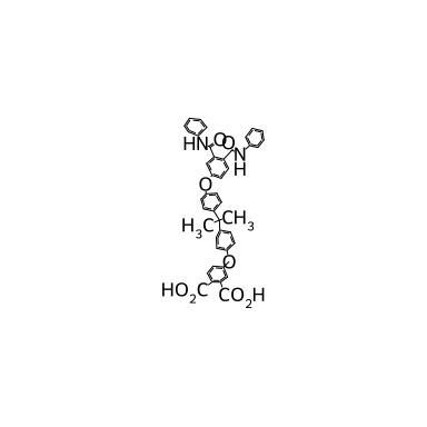 CC(C)(c1ccc(Oc2ccc(C(=O)O)c(C(=O)O)c2)cc1)c1ccc(Oc2ccc(C(=O)Nc3ccccc3)c(C(=O)Nc3ccccc3)c2)cc1